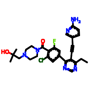 CCc1ncnc(-c2cc(F)c(C(=O)N3CCN(CC(C)(C)O)CC3)c(Cl)c2)c1C#Cc1ccc(N)nc1